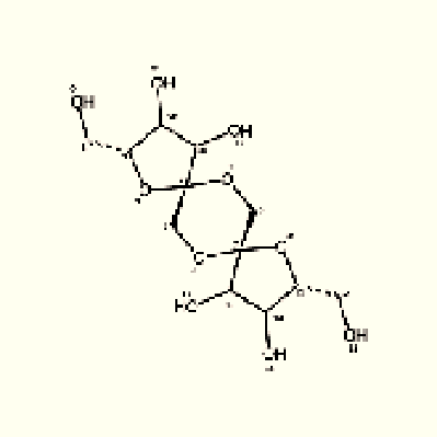 OC[C@H]1O[C@]2(CO[C@]3(CO2)O[C@H](CO)C(O)C3O)C(O)C1O